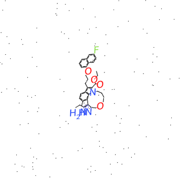 CCOC(=O)c1c(CCCOc2cccc3cc(F)ccc23)c2ccc(C)c3c2n1CCCCOCC(=N)/C3=C(\N)CC